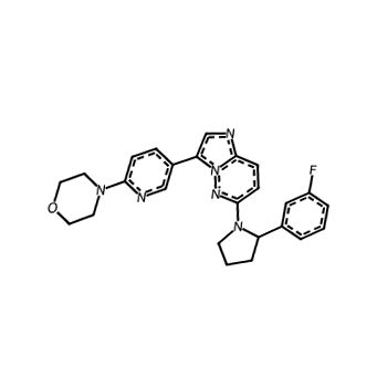 Fc1cccc(C2CCCN2c2ccc3ncc(-c4ccc(N5CCOCC5)nc4)n3n2)c1